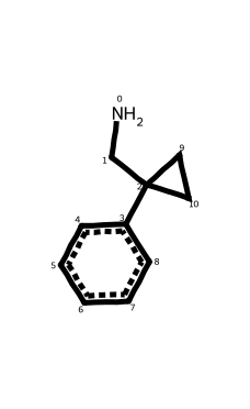 NCC1(c2ccccc2)CC1